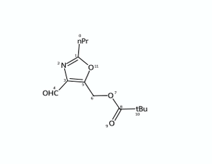 CCCc1nc(C=O)c(COC(=O)C(C)(C)C)o1